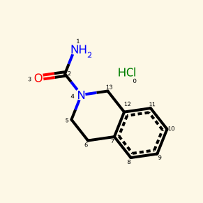 Cl.NC(=O)N1CCc2ccccc2C1